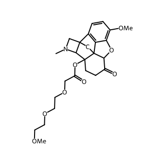 COCCOCCOCC(=O)OC12CCC(=O)C3Oc4c(OC)ccc5c4C31CC51CN(C)C12